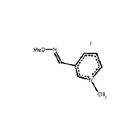 CON=Cc1ccc[n+](C)c1.[I-]